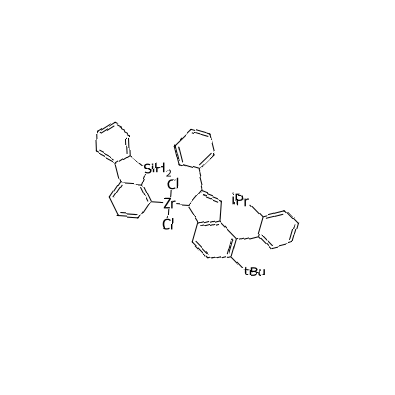 CC(C)c1ccccc1-c1c(C(C)(C)C)ccc2c1C=C(c1ccccc1)[CH]2[Zr]([Cl])([Cl])[c]1cccc2c1[SiH2]c1ccccc1-2